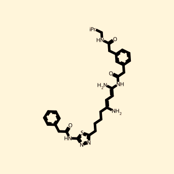 CC(C)CNC(=O)Cc1cccc(CC(=O)N/C(N)=C/C=C(\N)CCCCc2nnc(NC(=O)Cc3ccccc3)s2)c1